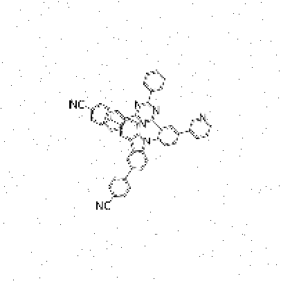 N#Cc1ccc(-c2ccc3c(c2)c2cc(-c4ccc(C#N)cc4)ccc2n3-c2ccc(-c3cccnc3)cc2-c2nc(-c3ccccc3)nc(-c3ccccc3)n2)cc1